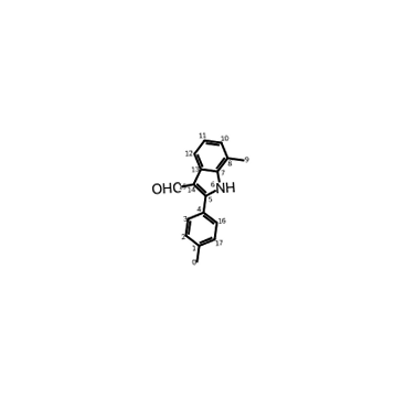 Cc1ccc(-c2[nH]c3c(C)cccc3c2C=O)cc1